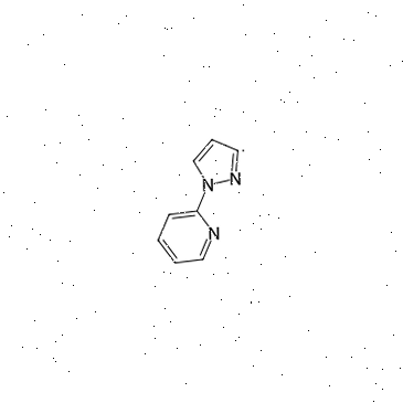 [c]1ccn(-c2ccccn2)n1